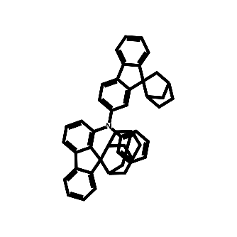 c1ccc(N(c2ccc3c(c2)C2(CC4CCC2C4)c2ccccc2-3)c2cccc3c2C2(c4ccccc4-3)C3CC4CC(C3)CC2C4)cc1